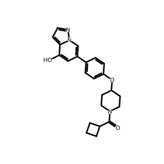 O=C(C1CCC1)N1CCC(Oc2ccc(-c3cc(O)c4ccnn4c3)cc2)CC1